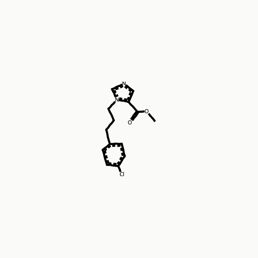 COC(=O)c1cncn1CCCc1ccc(Cl)cc1